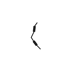 CC#CCC#CC